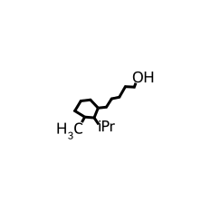 CC(C)C1C(C)CCCC1CCCCCO